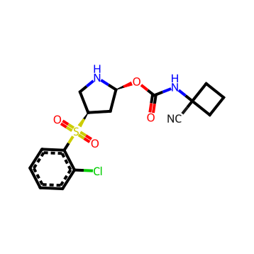 N#CC1(NC(=O)O[C@H]2C[C@@H](S(=O)(=O)c3ccccc3Cl)CN2)CCC1